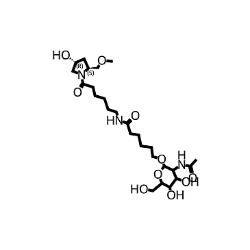 COC[C@@H]1C[C@@H](O)CN1C(=O)CCCCCNC(=O)CCCCCOC1OC(CO)C(O)C(O)C1NC(C)=O